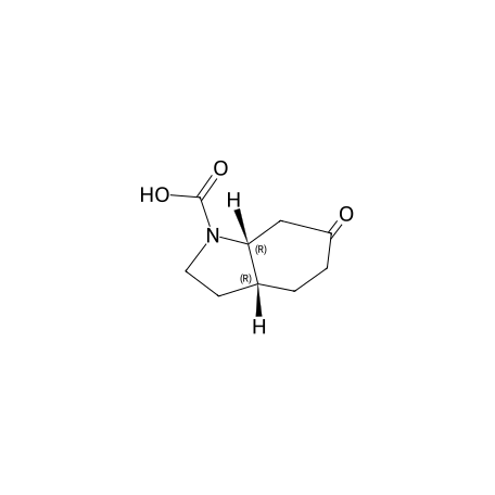 O=C1CC[C@@H]2CCN(C(=O)O)[C@@H]2C1